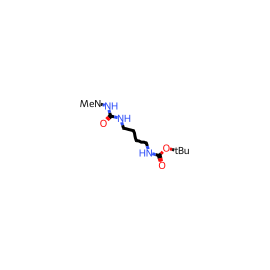 CNNC(=O)NCCCCNC(=O)OC(C)(C)C